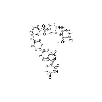 COc1nc(NC2CCN(S(=O)(=O)c3cccc(CN4CCC(c5ccc6c(N7CCC(=O)NC7=O)nn(C)c6c5)CC4)c3)CC2)ncc1Cl